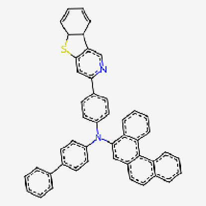 C1=CC2Sc3cc(-c4ccc(N(c5ccc(-c6ccccc6)cc5)c5cc6ccc7ccccc7c6c6ccccc56)cc4)ncc3C2C=C1